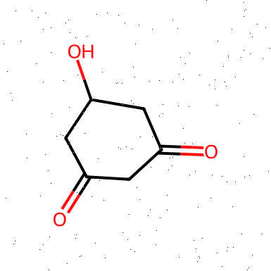 O=C1CC(=O)CC(O)C1